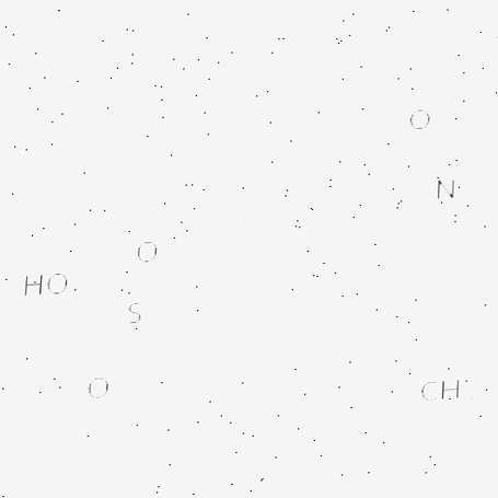 Cc1ccc(S(=O)(=O)O)cc1.c1ccc2oncc2c1